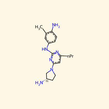 CCCc1cc(N2CC[C@H](N)C2)nc(Nc2ccc(N)c(C)c2)n1